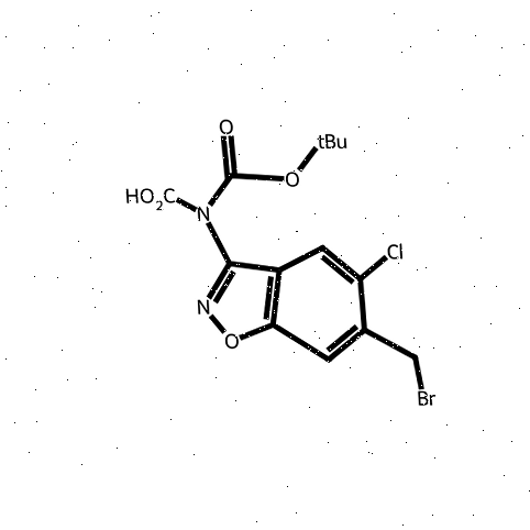 CC(C)(C)OC(=O)N(C(=O)O)c1noc2cc(CBr)c(Cl)cc12